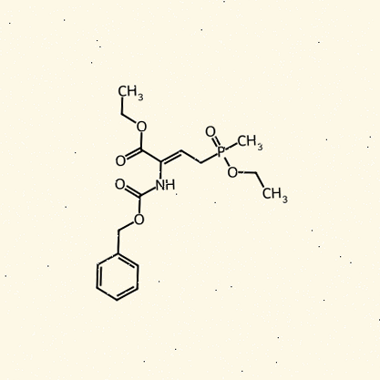 CCOC(=O)/C(=C/CP(C)(=O)OCC)NC(=O)OCc1ccccc1